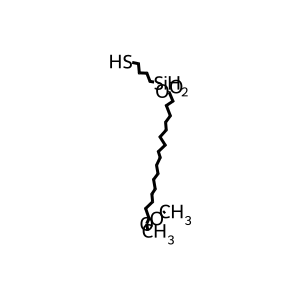 COC(CCCCCCCCCCCCCCCCC(=O)O[SiH2]CCCCS)OC